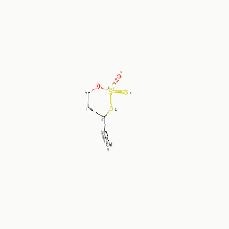 C#CC1CCOS(=O)(=S)S1